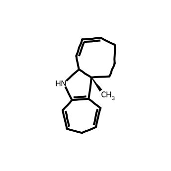 C[C@]12CCCC=C=CC1NC1=C2C=CCC=C1